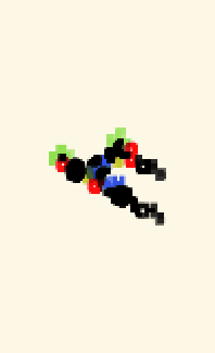 CCCc1ccc(CNC(=O)[C@H]2CN(c3cc(C(F)(F)F)c(C(=O)OCC)s3)CCN2Sc2ccc(OC(F)(F)F)cc2)cc1